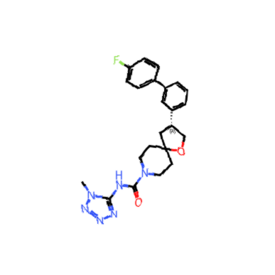 Cn1nnnc1NC(=O)N1CCC2(CC1)C[C@H](c1cccc(-c3ccc(F)cc3)c1)CO2